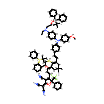 CCN(CCO[Si](c1ccccc1)(c1ccccc1)C(C)(C)C)c1ccc(N(c2ccc(/C=C/C3=C(SCC(O)c4ccccc4[S+](c4ccccc4)C(C)(C)C)C(=C/C=C/C4=C(C#N)C(=C(C#N)C#N)OC4(c4ccccc4)C(F)(F)F)/CC(C)(C)C3)cc2)c2ccc(OC)cc2)cc1